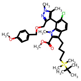 COC(=O)c1c(CCCCS(C)(C)C(C)(C)C)c2ccc(Cl)c(-c3c(COCc4ccc(OC)cc4)nn(C)c3C)c2n1C